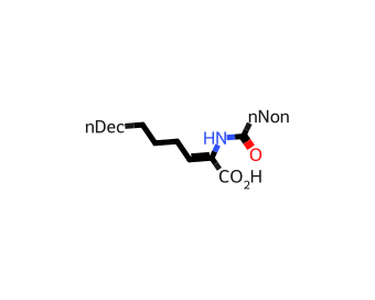 CCCCCCCCCCCCCC=C(NC(=O)CCCCCCCCC)C(=O)O